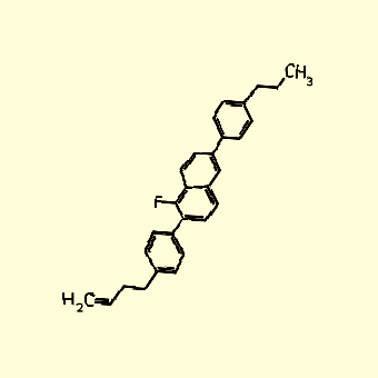 C=CCCc1ccc(-c2ccc3cc(-c4ccc(CCC)cc4)ccc3c2F)cc1